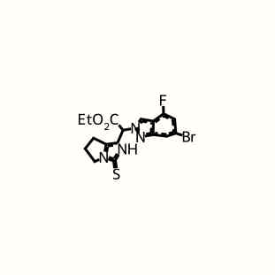 CCOC(=O)C(c1[nH]c(=S)n2c1CCC2)n1cc2c(F)cc(Br)cc2n1